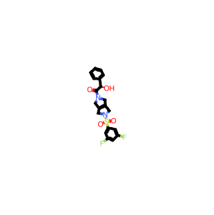 O=C([C@H](O)c1ccccc1)N1CC2=C(C1)CN(S(=O)(=O)c1cc(F)cc(F)c1)C2